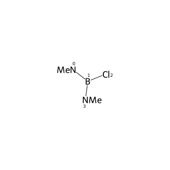 CNB(Cl)NC